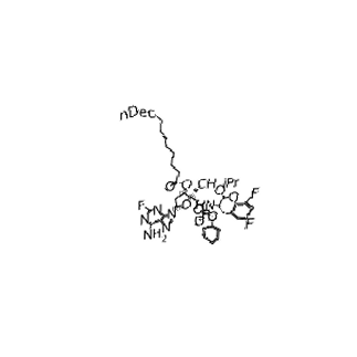 C#C[C@]1(CO[P@@](=O)(NC(Cc2cc(F)cc(F)c2)C(=O)OC(C)C)Oc2ccccc2)O[C@@H](n2cnc3c(N)nc(F)nc32)C[C@@H]1OC(=O)CCCCCCCCCCCCCCCCC